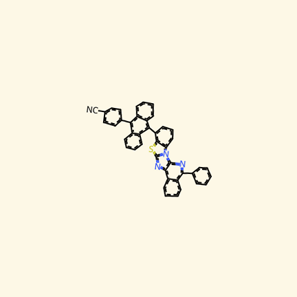 N#Cc1ccc(-c2c3ccccc3c(-c3cccc4c3sc3nc5c6ccccc6c(-c6ccccc6)nc5n34)c3ccccc23)cc1